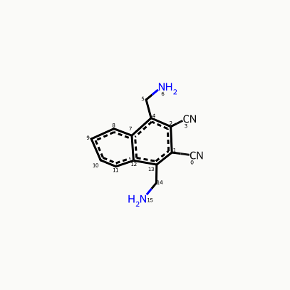 N#Cc1c(C#N)c(CN)c2ccccc2c1CN